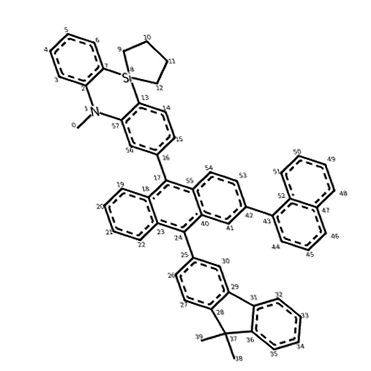 CN1c2ccccc2[Si]2(CCCC2)c2ccc(-c3c4ccccc4c(-c4ccc5c(c4)-c4ccccc4C5(C)C)c4cc(-c5cccc6ccccc56)ccc34)cc21